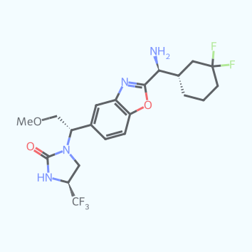 COC[C@H](c1ccc2oc([C@@H](N)[C@H]3CCCC(F)(F)C3)nc2c1)N1C[C@@H](C(F)(F)F)NC1=O